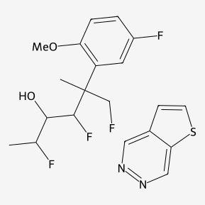 COc1ccc(F)cc1C(C)(CF)C(F)C(O)C(C)F.c1cc2cnncc2s1